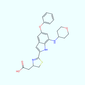 O=C(O)CC1CSC(c2cc3cc(Oc4ccccc4)cc(NC4CCOCC4)c3[nH]2)=N1